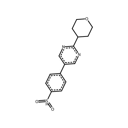 O=[SH](=O)c1ccc(-c2cnc(C3CCOCC3)nc2)cc1